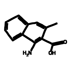 Cc1cc2ccccc2c(N)c1C(=O)O